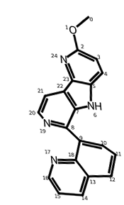 COc1ccc2[nH]c3c(-c4cccc5cccnc45)nccc3c2n1